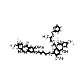 C=C1C[C@H]2[C@H](O)N(C(=O)OC[C@@H](C)SSc3ccccn3)c3cc(OCCCCCOc4cc5c(cc4OC)C(=O)N4CC(C)(C)C[C@H]4C=N5)c(OC)cc3C(O)N2C1